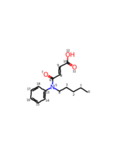 CCCCCN(C(=O)C=CC(=O)O)c1ccccc1